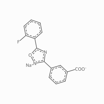 O=C([O-])c1cccc(-c2noc(-c3ccccc3F)n2)c1.[Na+]